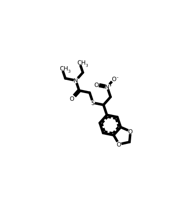 CCN(CC)C(=O)CSC(C[N+](=O)[O-])c1ccc2c(c1)OCO2